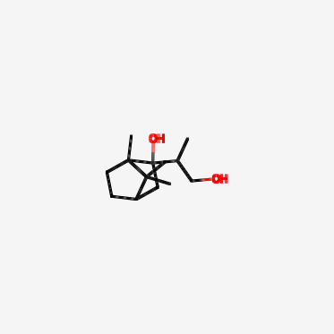 CC(CO)C1(O)CC2CCC1(C)C2(C)C